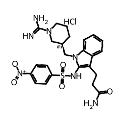 Cl.N=C(N)N1CCC[C@@H](Cn2c(NS(=O)(=O)c3ccc([N+](=O)[O-])cc3)c(CCC(N)=O)c3ccccc32)C1